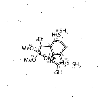 CCC(c1cccc2sc(S)nc12)[Si](OC)(OC)OC.S.S.S.S